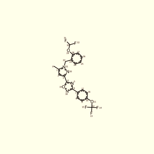 Cc1cc(-c2nc(-c3ccc(OC(F)(F)F)cc3)no2)nn1Cc1ccccc1OC(F)F